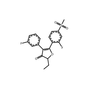 CCC1OC(c2ccc(S(C)(=O)=O)cc2F)=C(c2cccc(F)c2)C1=O